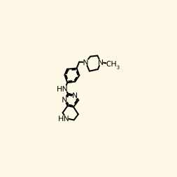 CN1CCN(Cc2ccc(Nc3ncc4c(n3)CNCC4)cc2)CC1